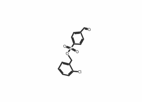 O=Cc1ccc(S(=O)(=O)OCc2ccccc2Cl)cc1